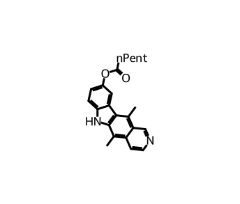 CCCCCC(=O)Oc1ccc2[nH]c3c(C)c4ccncc4c(C)c3c2c1